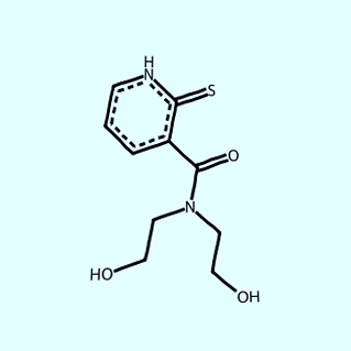 O=C(c1ccc[nH]c1=S)N(CCO)CCO